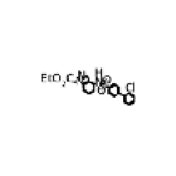 CCOC(=O)Cn1ncc2c1CCCC2NS(=O)(=O)c1ccc(-c2ccccc2Cl)cc1